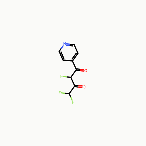 O=C(c1ccncc1)C(F)C(=O)C(F)F